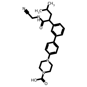 CC(C)CC(C(=O)NCC#N)c1cccc(-c2ccc(N3CCN(C(=O)O)CC3)cc2)c1